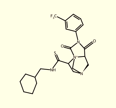 O=C1C2C[N@@]3CC(C(=S)NCC4CCCCC4)[N+]2(C3)C(=O)N1c1cccc(C(F)(F)F)c1